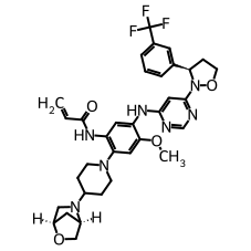 C=CC(=O)Nc1cc(Nc2cc(N3OCC[C@@H]3c3cccc(C(F)(F)F)c3)ncn2)c(OC)cc1N1CCC(N2C[C@H]3C[C@@H]2CO3)CC1